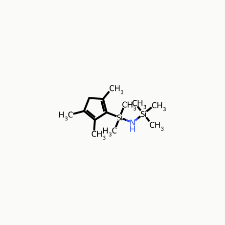 CC1=C(C)C([Si](C)(C)N[Si](C)(C)C)=C(C)C1